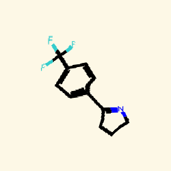 FC(F)(F)c1ccc(C2=NCCC2)cc1